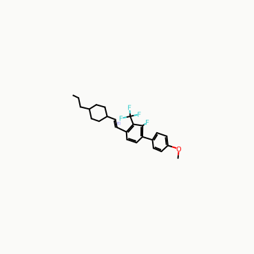 CCCC1CCC(/C=C/c2ccc(-c3ccc(OC)cc3)c(F)c2C(F)(F)F)CC1